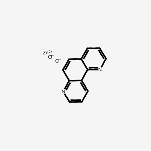 [Cl-].[Cl-].[Zn+2].c1cnc2c(c1)ccc1ncccc12